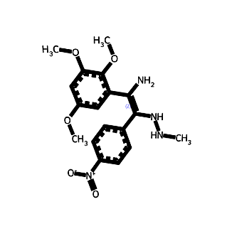 CNN/C(=C(\N)c1cc(OC)cc(OC)c1OC)c1ccc([N+](=O)[O-])cc1